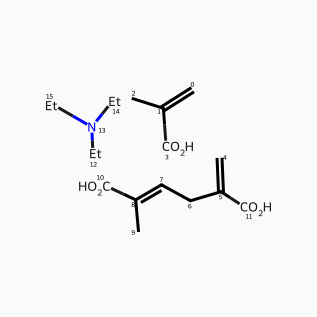 C=C(C)C(=O)O.C=C(CC=C(C)C(=O)O)C(=O)O.CCN(CC)CC